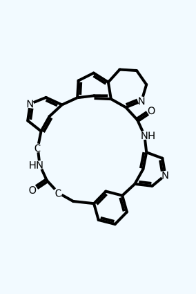 O=C1CCc2cccc(c2)-c2cncc(c2)NC(=O)C2=NCCCc3ccc(cc32)-c2cncc(c2)CN1